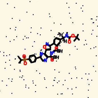 [2H]C([2H])(c1ccc(-c2cc(-c3nc(-c4ccc(S(=O)(=O)C(C)C)cc4)cnc3C3(/N=C4\BO4)BO3)on2)cc1)N(C)C(=O)OC(C)(C)C